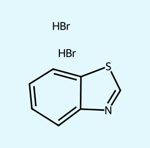 Br.Br.c1ccc2scnc2c1